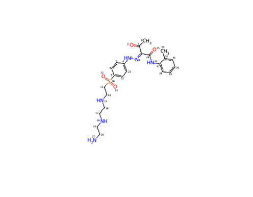 CC(=O)/C(=N\Nc1ccc(S(=O)(=O)CCNCCNCCN)cc1)C(=O)Nc1ccccc1C